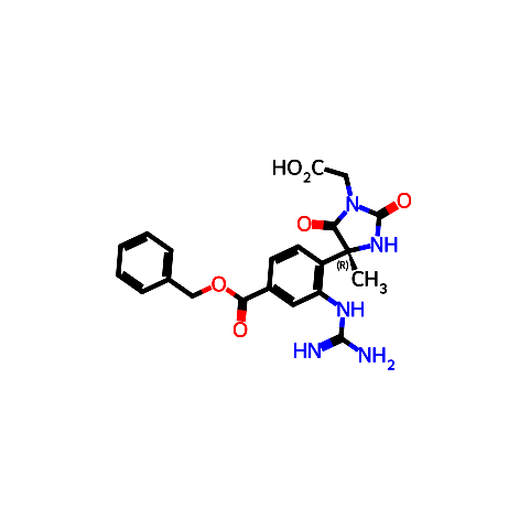 C[C@]1(c2ccc(C(=O)OCc3ccccc3)cc2NC(=N)N)NC(=O)N(CC(=O)O)C1=O